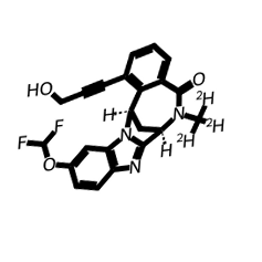 [2H]C([2H])([2H])N1C(=O)c2cccc(C#CCO)c2[C@H]2C[C@@H]1c1nc3ccc(OC(F)F)cc3n12